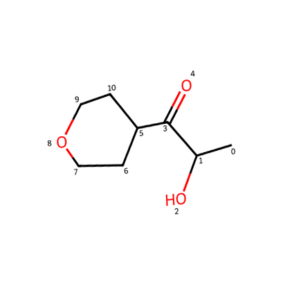 CC(O)C(=O)C1CCOCC1